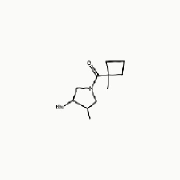 CC1CN(C(=O)C2(C)CCC2)CC1C(C)(C)C